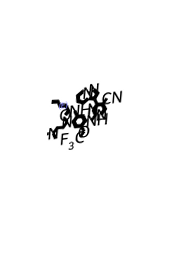 C=C/C=C/C(=O)Nc1cc(Nc2ncc(C#N)c(-c3cnn4ccccc34)n2)c(OC(F)(F)F)cc1N(C)CCN(C)C